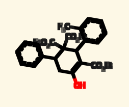 CCOC(=O)C1=C(O)CC(c2ccccc2)C(C(=O)OCC)(C(=O)OCC)C1c1ccccc1C(F)(F)F